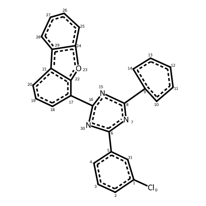 Clc1cccc(-c2nc(-c3ccccc3)nc(-c3cccc4c3oc3ccccc34)n2)c1